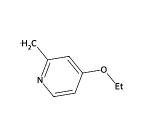 [CH2]c1cc(OCC)ccn1